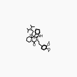 COc1ccc(CCN2C(=N)[C@@](CCN(C(C)C)C(C)C)(c3ccccc3)[C@H]3CCCCN3C2=O)cc1OC